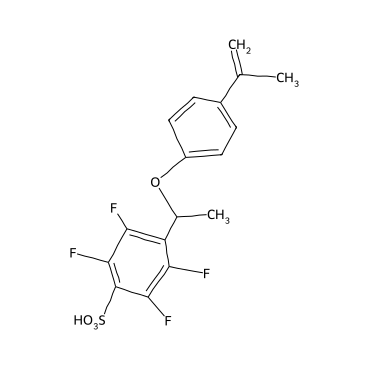 C=C(C)c1ccc(OC(C)c2c(F)c(F)c(S(=O)(=O)O)c(F)c2F)cc1